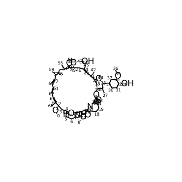 CO[C@H]1C[C@@H]2CC[C@@H](C)[C@@](O)(O2)C(=O)C(=O)N2CCCC[C@H]2C(=O)O[C@H]([C@H](C)C[C@@H]2CC[C@@H](O)[C@H](OC)C2)CC(=O)[C@H](C)/C=C(\C)[C@@H](CO)[C@@H](OC)C(=O)C(C)C[C@H](C)/C=C/C=C/C=C/1C